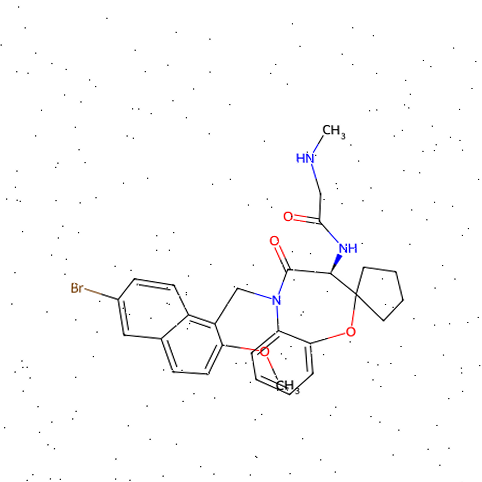 CNCC(=O)N[C@@H]1C(=O)N(Cc2c(OC)ccc3cc(Br)ccc23)c2ccccc2OC12CCCC2